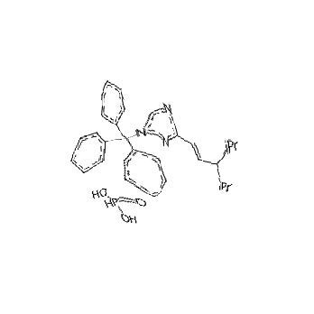 CC(C)C(C=Cc1ncn(C(c2ccccc2)(c2ccccc2)c2ccccc2)n1)C(C)C.O=[PH](O)O